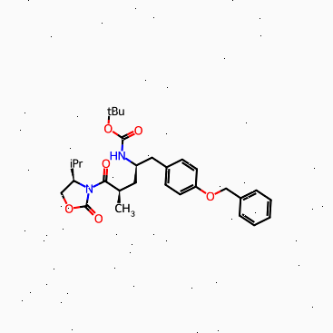 CC(C)[C@@H]1COC(=O)N1C(=O)[C@H](C)C[C@H](Cc1ccc(OCc2ccccc2)cc1)NC(=O)OC(C)(C)C